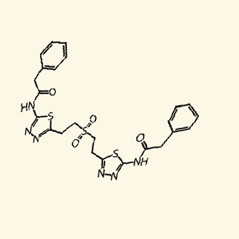 O=C(Cc1ccccc1)Nc1nnc(CCS(=O)(=O)CCc2nnc(NC(=O)Cc3ccccc3)s2)s1